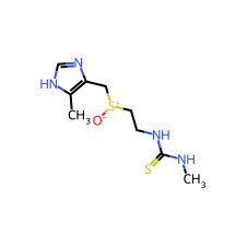 CNC(=S)NCC[S+]([O-])Cc1nc[nH]c1C